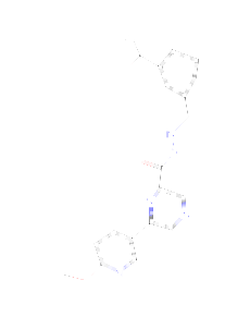 CCOc1ccc(-c2cncc(C(=O)NNCc3cccc(C(C)O)c3)n2)cn1